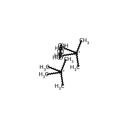 CCCCCCCCCCCC[N+](CCCCCCCCCCCC)(CCCCCCCCCCCC)CCCCCCCCCCCC.CCCCCCCCCCCC[N+](CCCCCCCCCCCC)(CCCCCCCCCCCC)CCCCCCCCCCCC.O=C(O)c1ccc(S(=O)(=O)c2ccc(C(=O)O)cc2)cc1